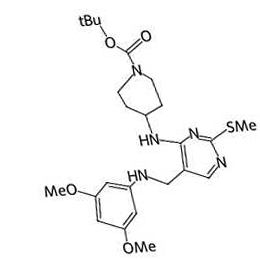 COc1cc(NCc2cnc(SC)nc2NC2CCN(C(=O)OC(C)(C)C)CC2)cc(OC)c1